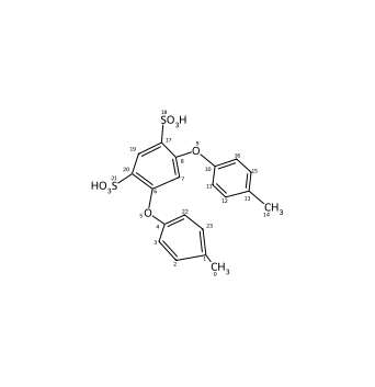 Cc1ccc(Oc2cc(Oc3ccc(C)cc3)c(S(=O)(=O)O)cc2S(=O)(=O)O)cc1